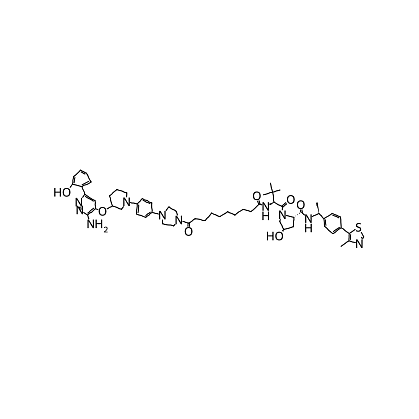 Cc1ncsc1-c1ccc([C@H](C)NC(=O)[C@@H]2C[C@@H](O)CN2C(=O)[C@@H](NC(=O)CCCCCCCCC(=O)N2CCN(c3ccc(N4CCCC(Oc5cc(-c6ccccc6O)nnc5N)C4)cc3)CC2)C(C)(C)C)cc1